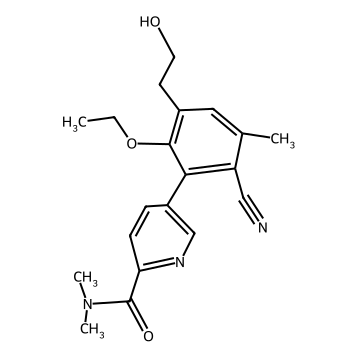 CCOc1c(CCO)cc(C)c(C#N)c1-c1ccc(C(=O)N(C)C)nc1